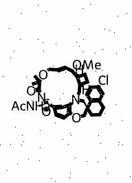 CO[C@@H]1/C=C/COC(C)(C)C(=O)N=[S@](=O)(NC(C)=O)c2ccc3c(c2)N(C[C@@H]2CC[C@H]21)C[C@@]1(CCCc2cc(Cl)ccc21)CO3